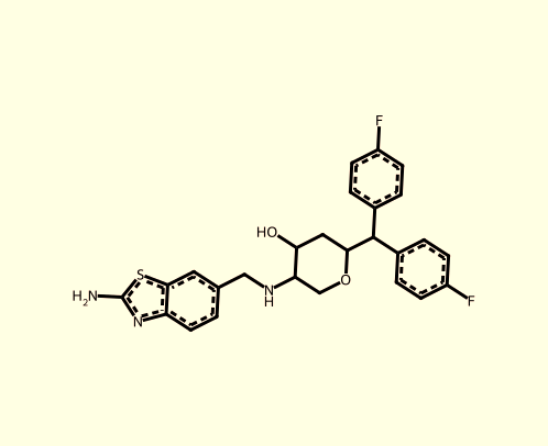 Nc1nc2ccc(CNC3COC(C(c4ccc(F)cc4)c4ccc(F)cc4)CC3O)cc2s1